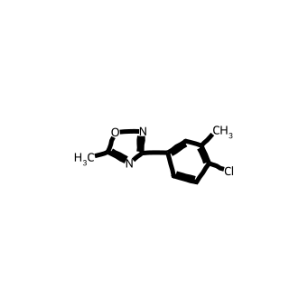 Cc1nc(-c2ccc(Cl)c(C)c2)no1